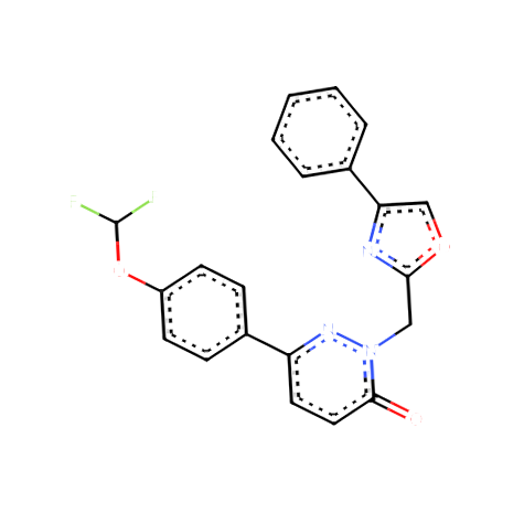 O=c1ccc(-c2ccc(OC(F)F)cc2)nn1Cc1nc(-c2ccccc2)co1